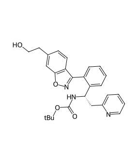 CC(C)(C)OC(=O)N[C@@H](Cc1ccccn1)c1ccccc1-c1noc2cc(CCO)ccc12